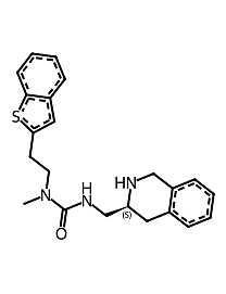 CN(CCc1cc2ccccc2s1)C(=O)NC[C@@H]1Cc2ccccc2CN1